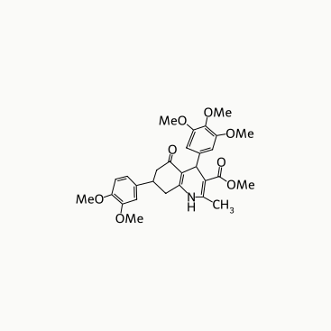 COC(=O)C1=C(C)NC2=C(C(=O)CC(c3ccc(OC)c(OC)c3)C2)C1c1cc(OC)c(OC)c(OC)c1